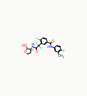 Cc1cc(NC(=O)c2ccc(F)c(C(F)(F)C(=O)N[C@H]3CCOB3O)c2)ccc1F